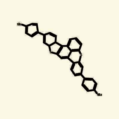 CC(C)(C)c1ccc(C2=CC3Sc4cc5c6c(cccc6c4C3C=C2)Sc2cc(-c3ccc(C(C)(C)C)cc3)ccc2-5)cc1